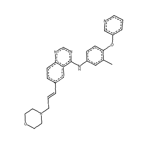 Cc1cc(Nc2ncnc3ccc(C=CCN4CCOCC4)cc23)ccc1Oc1cccnc1